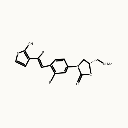 CC(=O)NC[C@H]1CN(c2ccc(C=C(F)c3ccsc3C#N)c(F)c2)C(=O)O1